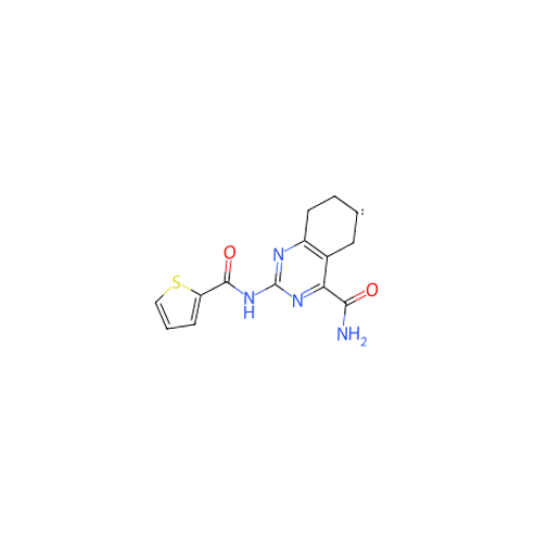 NC(=O)c1nc(NC(=O)c2cccs2)nc2c1C[C]CC2